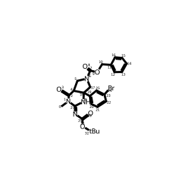 CN1C(=O)C2CN(C(=O)OCc3ccccc3)CC2(c2cccc(Br)c2)N/C1=N\C(=O)OC(C)(C)C